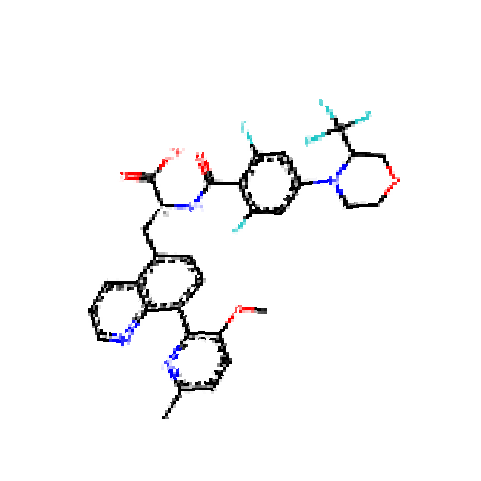 COc1ccc(C)nc1-c1ccc(C[C@H](NC(=O)c2c(F)cc(N3CCOCC3C(F)(F)F)cc2F)C(=O)O)c2cccnc12